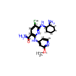 COc1cc(Nc2nc(NC3CCCCC3N)c(F)cc2C(N)=O)ccn1